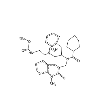 Cn1c(=O)c(CN(C(=O)C2CCCCC2)C(Cc2ccccc2)CN(CCNC(=O)OC(C)(C)C)C(=O)O)cc2ccccc21